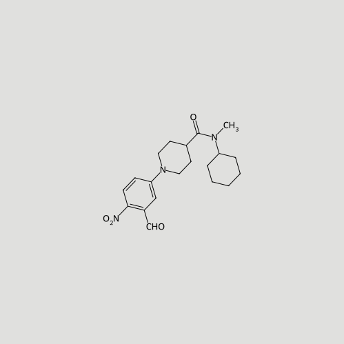 CN(C(=O)C1CCN(c2ccc([N+](=O)[O-])c(C=O)c2)CC1)C1CCCCC1